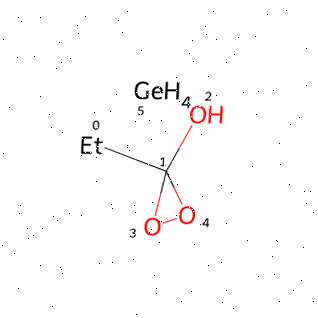 CCC1(O)OO1.[GeH4]